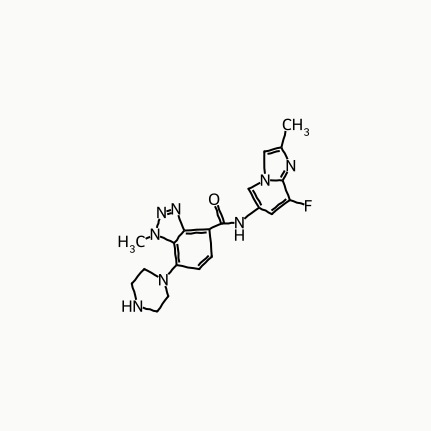 Cc1cn2cc(NC(=O)c3ccc(N4CCNCC4)c4c3nnn4C)cc(F)c2n1